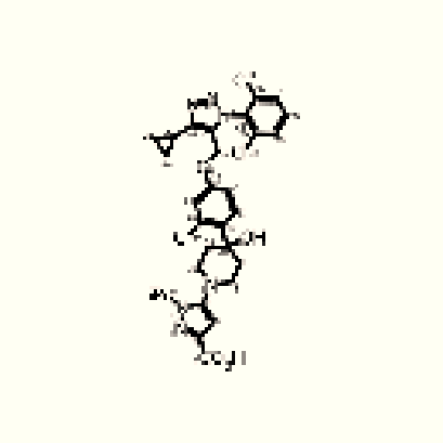 CC(C)n1nc(C(=O)O)cc1N1CCC(O)(c2ccc(OCc3c(C4CC4)nnn3-c3c(Cl)cccc3Cl)cc2Cl)CC1